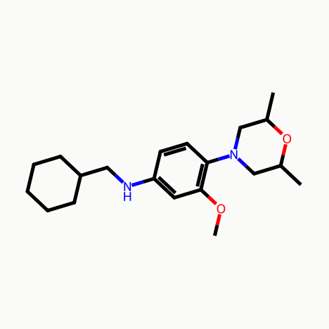 COc1cc(NCC2CCCCC2)ccc1N1CC(C)OC(C)C1